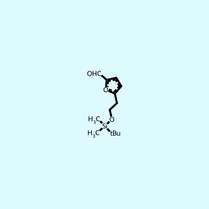 CC(C)(C)[Si](C)(C)OCCc1ccc(C=O)o1